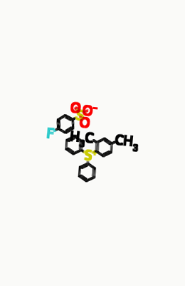 Cc1ccc([S+](c2ccccc2)c2ccccc2)c(C)c1.O=S(=O)([O-])c1ccc(F)cc1